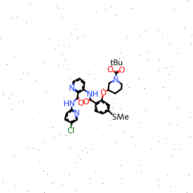 CSc1ccc(C(=O)Nc2cccnc2C(=O)Nc2ccc(Cl)cn2)c(OC2CCCN(C(=O)OC(C)(C)C)C2)c1